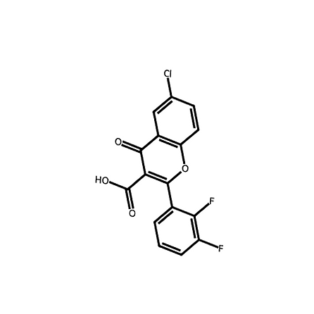 O=C(O)c1c(-c2cccc(F)c2F)oc2ccc(Cl)cc2c1=O